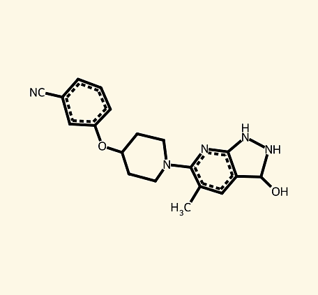 Cc1cc2c(nc1N1CCC(Oc3cccc(C#N)c3)CC1)NNC2O